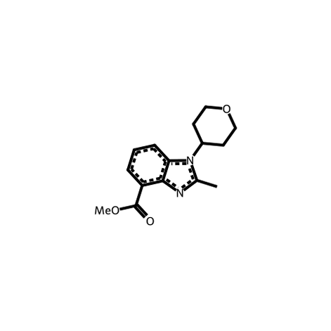 COC(=O)c1cccc2c1nc(C)n2C1CCOCC1